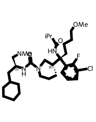 CNC[C@H](CC1CCCCC1)NC(=O)N1CCC[C@@H]([C@](CCCCOC)(NC(=O)C(C)C)c2cccc(Cl)c2F)C1